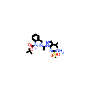 C=C(NCc1ccccc1NC(=O)OC(C)(C)C)n1ncc(C(C)C)c1/N=C(\N)S(C)(=O)=O